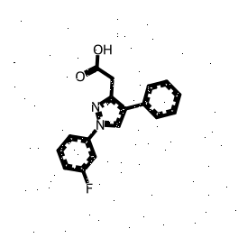 O=C(O)Cc1nn(-c2cccc(F)c2)cc1-c1ccccc1